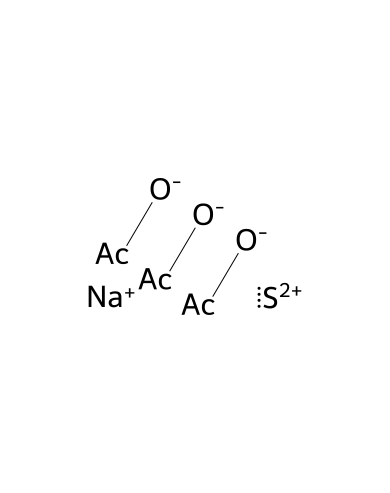 CC(=O)[O-].CC(=O)[O-].CC(=O)[O-].[Na+].[S+2]